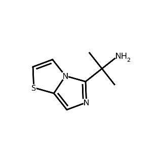 CC(C)(N)c1ncc2sccn12